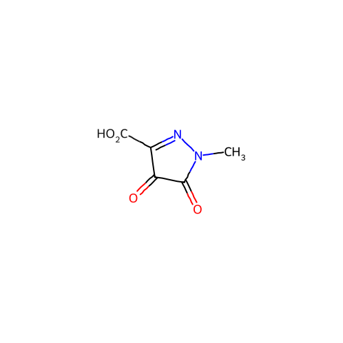 CN1N=C(C(=O)O)C(=O)C1=O